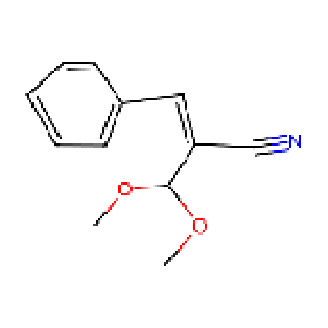 COC(OC)C(C#N)=Cc1ccccc1